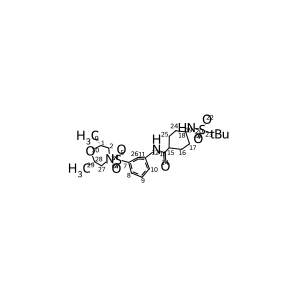 C[C@@H]1CN(S(=O)(=O)c2cccc(NC(=O)C3CCC(NS(=O)(=O)C(C)(C)C)CC3)c2)C[C@H](C)O1